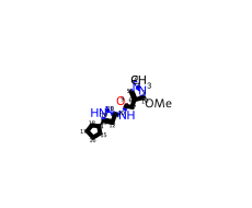 COc1nn(C)cc1CC(=O)Nc1cc([C@H]2C[CH]CC2)[nH]n1